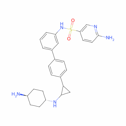 Nc1ccc(S(=O)(=O)Nc2cccc(-c3ccc(C4CC4N[C@H]4CC[C@H](N)CC4)cc3)c2)cn1